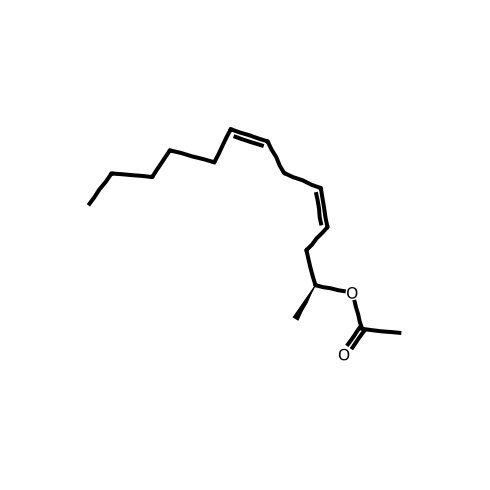 CCCCC/C=C\C/C=C\C[C@H](C)OC(C)=O